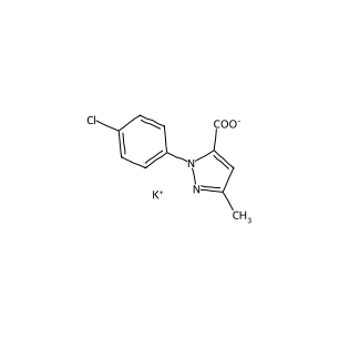 Cc1cc(C(=O)[O-])n(-c2ccc(Cl)cc2)n1.[K+]